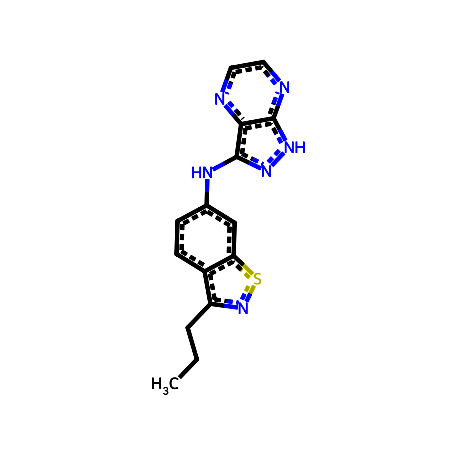 CCCc1nsc2cc(Nc3n[nH]c4nccnc34)ccc12